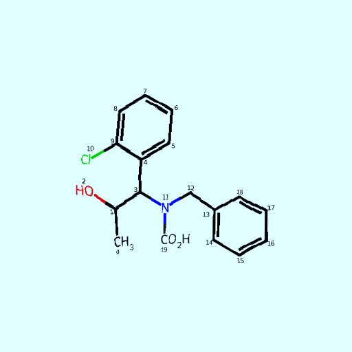 CC(O)C(c1ccccc1Cl)N(Cc1ccccc1)C(=O)O